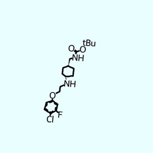 CC(C)(C)OC(=O)NC[C@H]1CC[C@H](NCCOc2ccc(Cl)c(F)c2)CC1